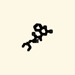 CCN(CC)CNC(=O)N(C)c1cc(=O)oc2ccccc12